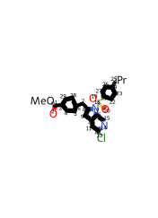 COC(=O)c1ccc(Cc2cc3cc(Cl)ncc3n2S(=O)(=O)c2ccc(C(C)C)cc2)cc1